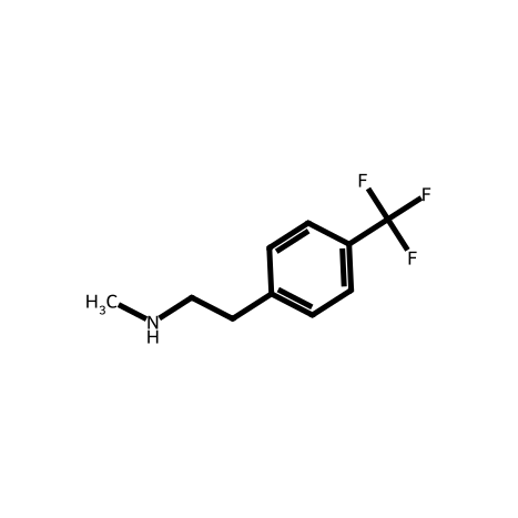 CNCCc1ccc(C(F)(F)F)cc1